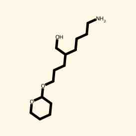 NCCCCC(CO)CCCOC1CCCCO1